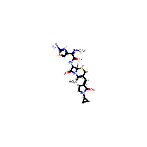 CC(=O)O/N=C(\C(=O)N[C@@H]1C(=O)N2C(C(=O)O)=C(C=C3CCN(C4CC4)C3=O)CS[C@H]12)c1csc(N)n1